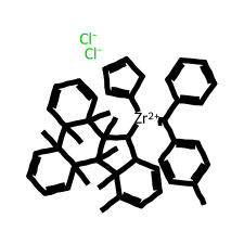 CC1=CC=CC2[CH](/[Zr+2]([C]3=CC=CC3)=[C](/c3ccccc3)c3ccc(C)cc3)C3(C)C4(C)C=CC=CC4(C)C4(C)C=CC=CC4(C)C3(C)C12C.[Cl-].[Cl-]